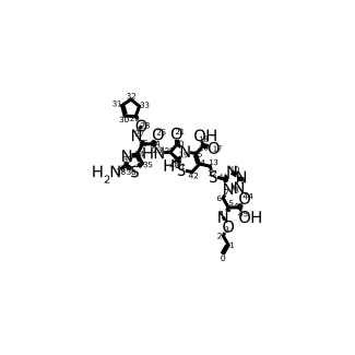 C=CCO/N=C(/Cn1nnnc1SCC1=C(C(=O)O)N2C(=O)C(NC(=O)/C(=N\OC3C=CCC3)c3csc(N)n3)[C@H]2SC1)C(=O)O